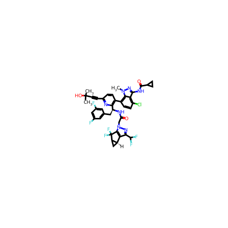 Cn1nc(NC(=O)C2CC2)c2c(Cl)ccc(-c3ccc(C#CC(C)(C)O)nc3[C@H](Cc3cc(F)cc(F)c3)NC(=O)Cn3nc(C(F)F)c4c3C(F)(F)C3C[C@H]43)c21